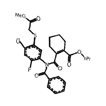 CCCOC(=O)C1=C(C(=O)N(C(=O)c2ccccc2)c2cc(SCC(=O)OC)c(Cl)cc2F)CCCC1